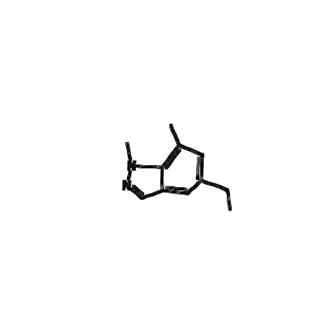 CCc1cc(C)c2c(cnn2C)c1